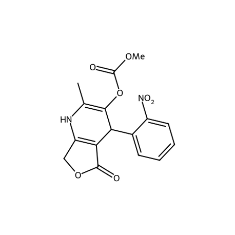 COC(=O)OC1=C(C)NC2=C(C(=O)OC2)C1c1ccccc1[N+](=O)[O-]